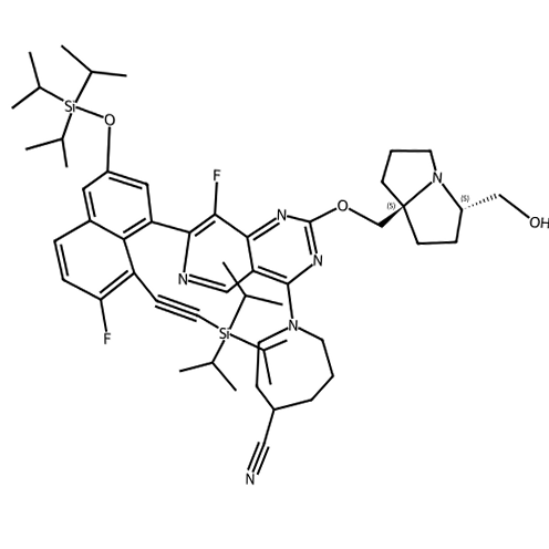 CC(C)[Si](C#Cc1c(F)ccc2cc(O[Si](C(C)C)(C(C)C)C(C)C)cc(-c3ncc4c(N5CCCC(C#N)CC5)nc(OC[C@@]56CCCN5[C@H](CO)CC6)nc4c3F)c12)(C(C)C)C(C)C